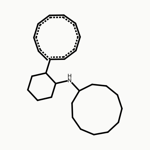 c1ccccc(C2CCCCC2NC2CCCCCCCCCC2)cccc1